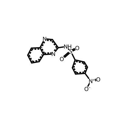 O=[N+]([O-])c1ccc(S(=O)(=O)Nc2cnc3ccccc3n2)cc1